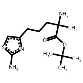 CC(C)(C)OC(=O)C(C)(N)CCCc1csc(N)n1